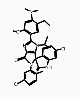 CCc1cc(-c2nc3c(n2C(C)C)C2(C(=O)Nc4cc(Cl)ccc42)N(c2cc(Cl)ccc2C)C3=O)c(OC)cc1N(C)C